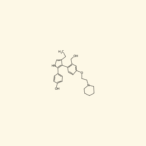 CCc1c[nH]c(-c2ccc(O)cc2)c1-c1ccc(OCCN2CCCCC2)cc1CO